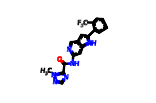 Cn1ncnc1C(=O)Nc1cc2[nH]c(-c3ccccc3C(F)(F)F)cc2cn1